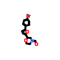 O=CN1CCOC(c2ccc(-c3ccc(Br)cc3)o2)C1